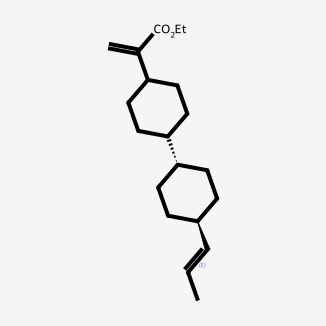 C=C(C(=O)OCC)C1CCC([C@H]2CC[C@H](/C=C/C)CC2)CC1